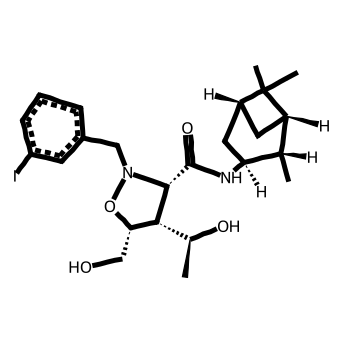 C[C@@H]1[C@@H](NC(=O)[C@@H]2[C@H]([C@H](C)O)[C@H](CO)ON2Cc2cccc(I)c2)C[C@H]2C[C@@H]1C2(C)C